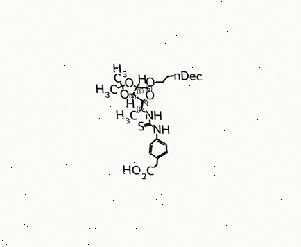 CCCCCCCCCCCCO[C@H]1O[C@H]([C@H](C)NC(=S)Nc2ccc(CC(=O)O)cc2)[C@@H]2OC(C)(C)O[C@H]12